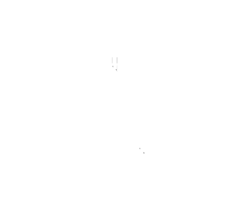 CN(C)CCc1cccc(-c2cccc3[nH]ccc23)c1